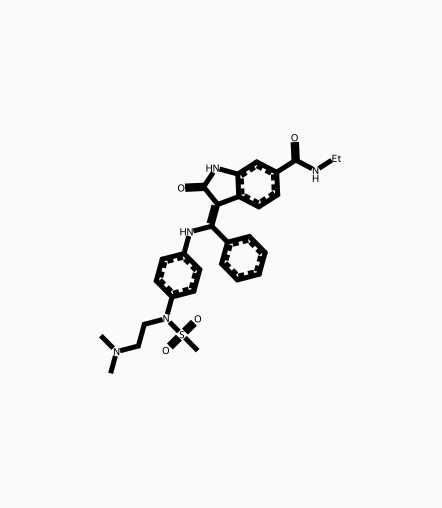 CCNC(=O)c1ccc2c(c1)NC(=O)/C2=C(\Nc1ccc(N(CCN(C)C)S(C)(=O)=O)cc1)c1ccccc1